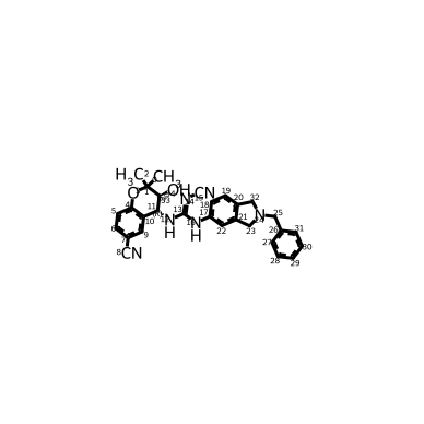 CC1(C)Oc2ccc(C#N)cc2[C@@H](NC(=NC#N)Nc2ccc3c(c2)CN(Cc2ccccc2)C3)[C@@H]1O